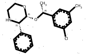 Cc1cc(Cl)cc([C@@H](C)O[C@H]2OCCN[C@H]2c2ccccc2)c1